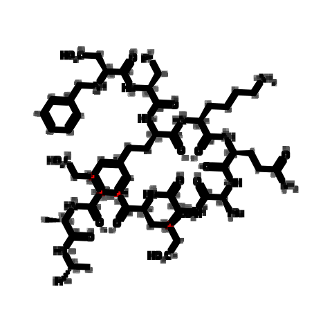 CCCC[C@H](NC(=O)[C@H](CCC(N)=O)NC(=O)[C@H](CCCCN)NC(=O)[C@@H](CCc1ccccc1)NC(=O)[C@H](CC(C)C)NC(=O)[C@H](CC(=O)O)NCc1ccccc1)C(=O)N[C@@H](CCC(=O)O)C(=O)N[C@@H](CCC(=O)O)C(=O)N[C@@H](CCC(=O)O)C(=O)N[C@@H](C)C(=O)N[C@H](C)C(C)C